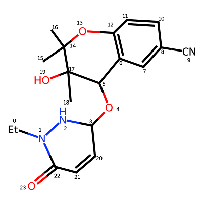 CCN1NC(OC2c3cc(C#N)ccc3OC(C)(C)C2(C)O)C=CC1=O